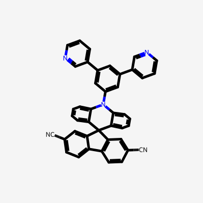 N#Cc1ccc2c(c1)C1(c3cc(C#N)ccc3-2)c2ccccc2N(c2cc(-c3cccnc3)cc(-c3cccnc3)c2)c2ccccc21